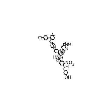 CC1(C)CCC(CN2CCN(c3ccc(C(=O)NS(=O)(=O)c4ccc(NC[C@H]5CC[C@](C)(O)CC5)c([N+](=O)[O-])c4)c(-n4ncc5nc6[nH]ccc6cc54)c3)CC2)=C(c2ccc(Cl)cc2)C1